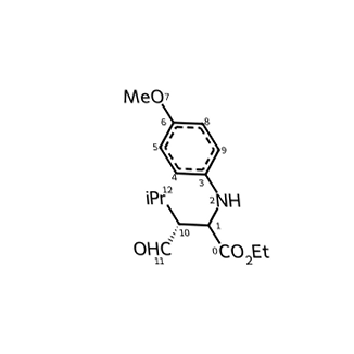 CCOC(=O)C(Nc1ccc(OC)cc1)[C@H](C=O)C(C)C